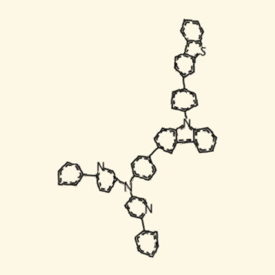 c1ccc(-c2ccc(N(c3ccc(-c4ccc5c(c4)c4ccccc4n5-c4ccc(-c5ccc6c(c5)sc5ccccc56)cc4)cc3)c3ccc(-c4ccccc4)nc3)cn2)cc1